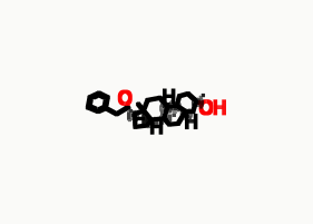 CC12CC[C@H]3[C@@H](CC[C@@H]4C[C@](C)(O)CC[C@@]43C)[C@@H]1CC[C@@H]2C(=O)Cc1ccccc1